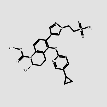 COC(=O)N1c2ccc(-c3cnn(CCS(C)(=O)=O)c3)c(Oc3ncc(C4CC4)cn3)c2CC[C@@H]1C